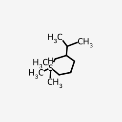 CC(C)C1CCC[SH](C)(C)(C)C1